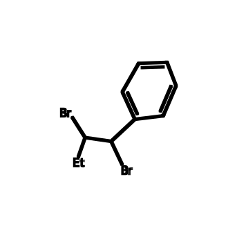 CCC(Br)C(Br)c1ccccc1